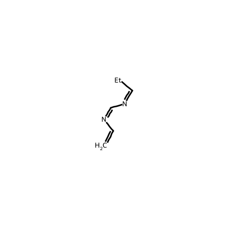 C=C/N=C\N=C/CC